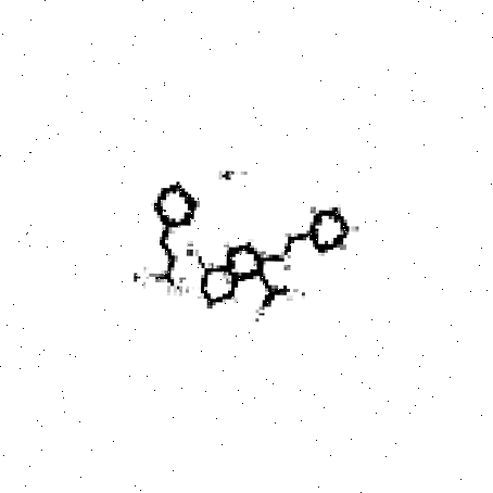 CC(CCc1ccccc1)N[C@H]1CCc2c(ccc(OCc3ccccc3)c2C(N)=O)[C@@H]1O.Cl